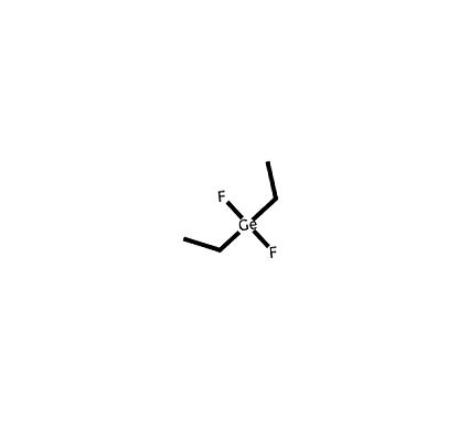 C[CH2][Ge]([F])([F])[CH2]C